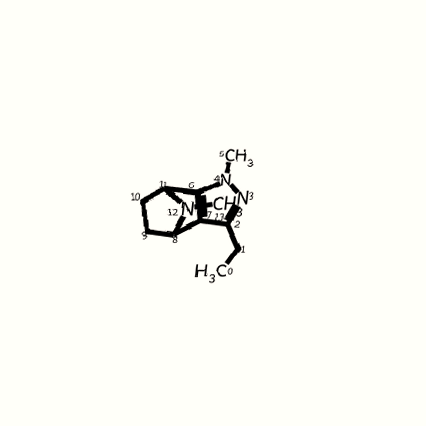 CCc1nn(C)c2c1C1CCC2N1C